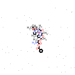 CC(O[C@@H](C)[C@H](N)C(=O)OCC(=O)c1ccccc1)[C@@H]1C[C@H](C)CN1C(=O)[C@H](C)NC(=O)[C@H](C)N(C)C(=O)[C@@H]1CCCN1C(=O)OC(C)(C)C